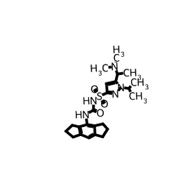 CC(c1cc(S(=O)(=O)NC(=O)Nc2c3c(cc4c2CCC4)CCC3)nn1C(C)C)N(C)C